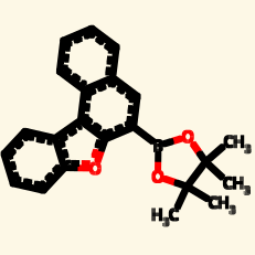 CC1(C)OB(c2cc3ccccc3c3c2oc2ccccc23)OC1(C)C